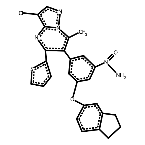 N[N+](=O)c1cc(Oc2ccc3c(c2)CCC3)cc(-c2c(-c3cccs3)nc3c(Cl)cnn3c2C(F)(F)F)c1